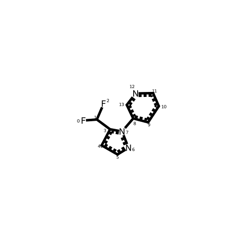 FC(F)c1[c]cnn1-c1cccnc1